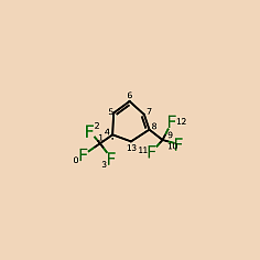 FC(F)(F)[C]1C=CC=C(C(F)(F)F)C1